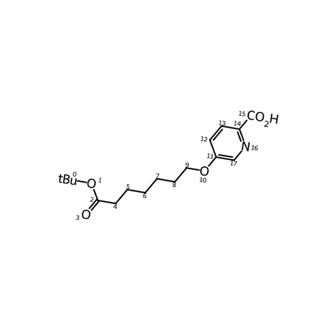 CC(C)(C)OC(=O)CCCCCCOc1ccc(C(=O)O)nc1